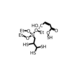 CCO[Si](CC(S)C(S)S)(OCC)OCC.O=C(O)/C=C\C(=O)OS